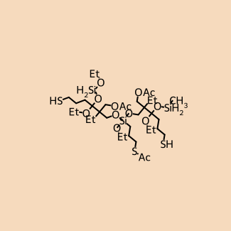 CCO[SiH2]OC(CCCS)(OCC)C(CC)(COC(C)=O)CO[Si](CCCSC(C)=O)(OCC)OCC(CC)(COC(C)=O)C(CCCS)(OCC)O[SiH2]C